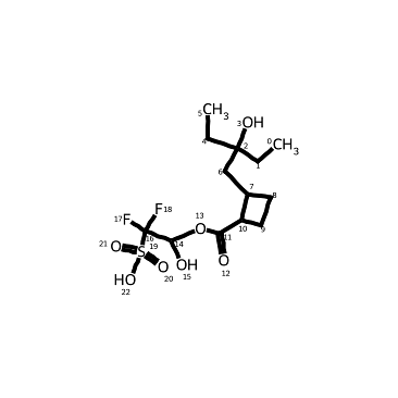 CCC(O)(CC)CC1CCC1C(=O)OC(O)C(F)(F)S(=O)(=O)O